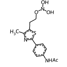 CC(=O)Nc1ccc(-c2nc(C)c(CCON(O)O)s2)cc1